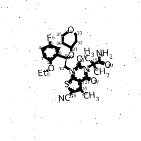 CCOc1ccc(F)cc1[C@H](Cn1c(=O)n(C(C)(C)C(N)=O)c(=O)c2c(C)c(C#N)sc21)OC1CCOCC1